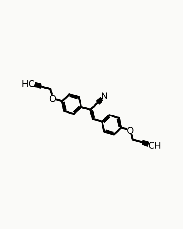 C#CCOc1ccc(C=C(C#N)c2ccc(OCC#C)cc2)cc1